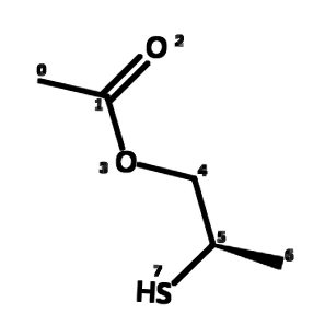 CC(=O)OC[C@@H](C)S